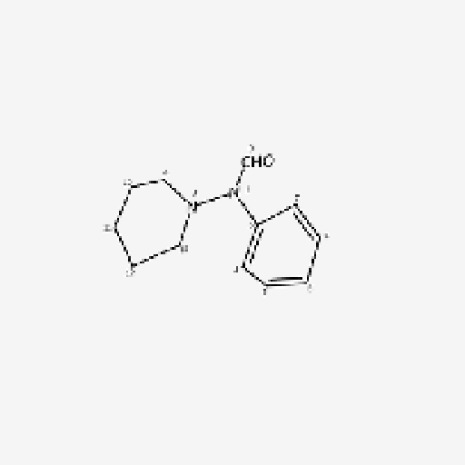 O=CN(c1ccccc1)N1CCCCC1